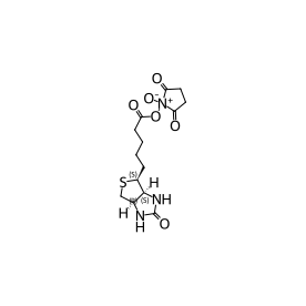 O=C1N[C@H]2[C@H](CS[C@H]2CCCCC(=O)O[N+]2([O-])C(=O)CCC2=O)N1